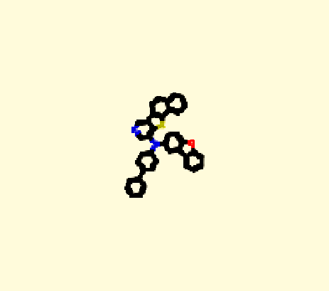 c1ccc(-c2ccc(N(c3ccc4oc5ccccc5c4c3)c3cncc4c3sc3c5ccccc5ccc43)cc2)cc1